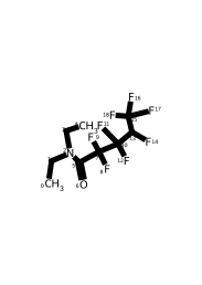 CCN(CC)C(=O)C(F)(F)C(F)(F)C(F)C(F)(F)F